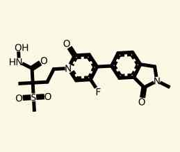 CN1Cc2ccc(-c3cc(=O)n(CCC(C)(C(=O)NO)S(C)(=O)=O)cc3F)cc2C1=O